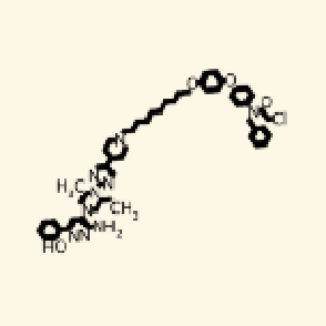 CCC1CN(c2cc(-c3ccccc3O)nnc2N)CC(C)N1c1ncc(C2CCN(CCCCCCCCCCOc3ccc(Oc4ccc(N(Cc5ccccc5)C(=O)CCl)cc4)cc3)CC2)cn1